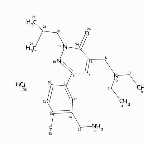 CCN(CC)Cc1cc(-c2ccc(F)c(CN)c2)nn(CC(C)C)c1=O.Cl